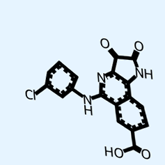 O=C1Nc2c(nc(Nc3cccc(Cl)c3)c3cc(C(=O)O)ccc23)C1=O